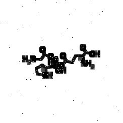 NCC(=O)O.N[C@@H](CCC(=O)O)C(=O)O.O=C(O)[C@@H]1CCCN1